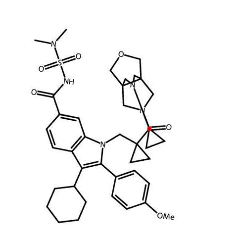 COc1ccc(-c2c(C3CCCCC3)c3ccc(C(=O)NS(=O)(=O)N(C)C)cc3n2CC2(C(=O)N3CC45COCC4(C3)CN(C3CC3)C5)CC2)cc1